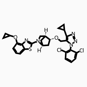 Clc1cccc(Cl)c1-n1nnc(C2CC2)c1CO[C@@H]1C[C@@H]2C[C@H]1CN2c1nc2c(OC3CC3)cccc2s1